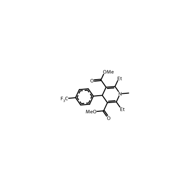 CCC1=C(C(=O)OC)C(c2ccc(C(F)(F)F)cc2)C(C(=O)OC)=C(CC)N1C